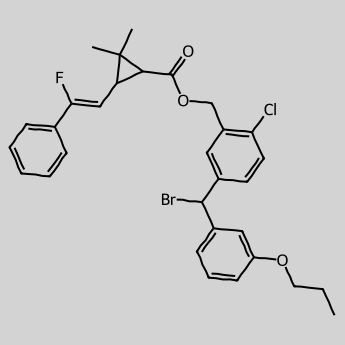 CCCOc1cccc(C(Br)c2ccc(Cl)c(COC(=O)C3C(C=C(F)c4ccccc4)C3(C)C)c2)c1